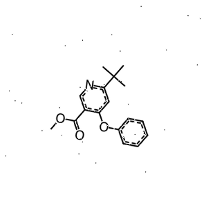 COC(=O)c1cnc(C(C)(C)C)cc1Oc1ccccc1